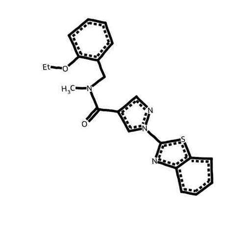 CCOc1ccccc1CN(C)C(=O)c1cnn(-c2nc3ccccc3s2)c1